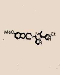 CCn1cc(-c2c(C)nc(N3CCC4(CC3)Cc3ccc(OC)cc3C4)c3ccnn23)cn1